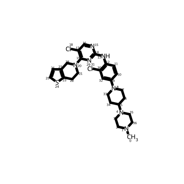 CN1CCN(C2CCN(c3ccc(Nc4ncc(Cl)c(N5CCc6sccc6C5)n4)c(Cl)c3)CC2)CC1